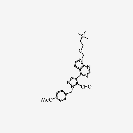 COc1ccc(Cn2ncc(-c3ncnc4c3ccn4COCC[Si](C)(C)C)c2C=O)cc1